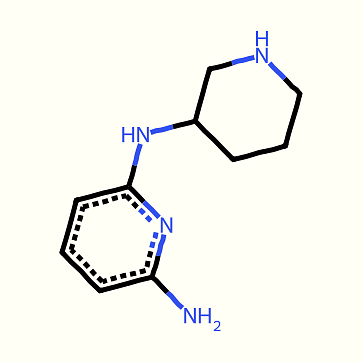 Nc1cccc(NC2CCCNC2)n1